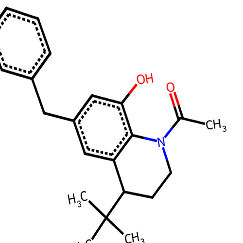 CC(=O)N1CCC(C(C)(C)C)c2cc(Cc3ccccc3)cc(O)c21